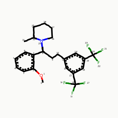 COc1ccccc1C([CH]Cc1cc(C(F)(F)F)cc(C(F)(F)F)c1)N1CCCCC1C